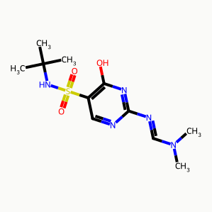 CN(C)C=Nc1ncc(S(=O)(=O)NC(C)(C)C)c(O)n1